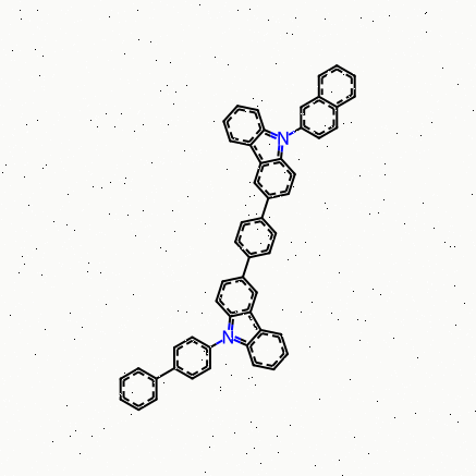 c1ccc(-c2ccc(-n3c4ccccc4c4cc(-c5ccc(-c6ccc7c(c6)c6ccccc6n7-c6ccc7ccccc7c6)cc5)ccc43)cc2)cc1